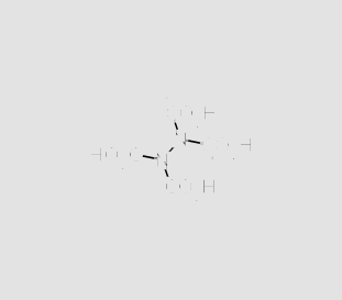 O=C(O)N(C(=O)O)N(C(=O)O)C(=O)O